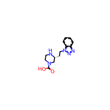 O=C(O)N1CCN[C@H](CCn2nnc3ccccc32)C1